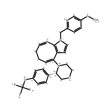 CSc1ccc(Cn2ccc3c2/N=C\CC/C=C\3N2CCOC[C@@H]2c2ccc(OC(F)(F)F)cc2)nc1